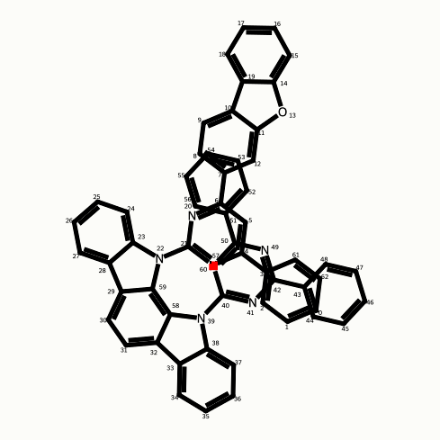 c1ccc(-c2cc(-c3ccc4c(c3)oc3ccccc34)nc(-n3c4ccccc4c4ccc5c6ccccc6n(-c6nc(-c7ccccc7)nc(-c7ccccc7)n6)c5c43)n2)cc1